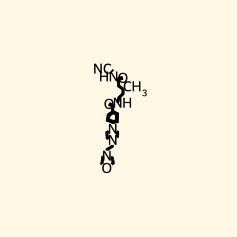 CC(CCNC(=O)c1ccc(N2CCN(CCN3CCOCC3)CC2)cc1)CC(=O)NCC#N